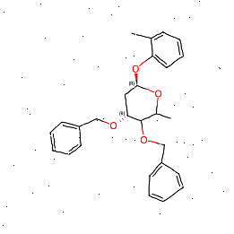 Cc1ccccc1O[C@@H]1C[C@@H](OCc2ccccc2)C(OCc2ccccc2)C(C)O1